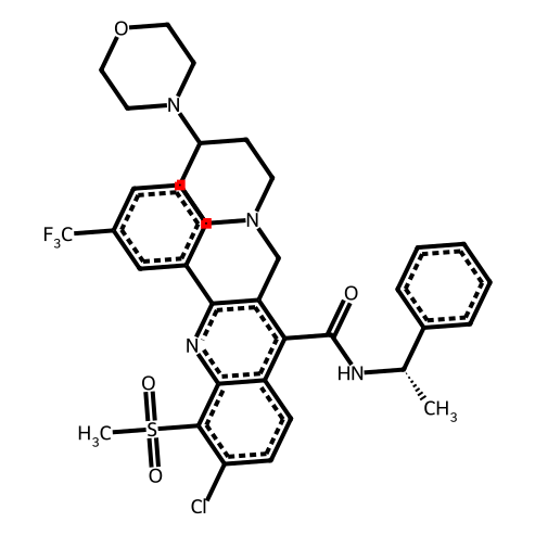 C[C@H](NC(=O)c1c(CN2CCC(N3CCOCC3)CC2)c(-c2cccc(C(F)(F)F)c2)nc2c(S(C)(=O)=O)c(Cl)ccc12)c1ccccc1